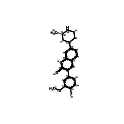 COc1cc(-c2cc3ccc(N4CCN[C@@H](C)C4)cc3oc2=O)ccc1F